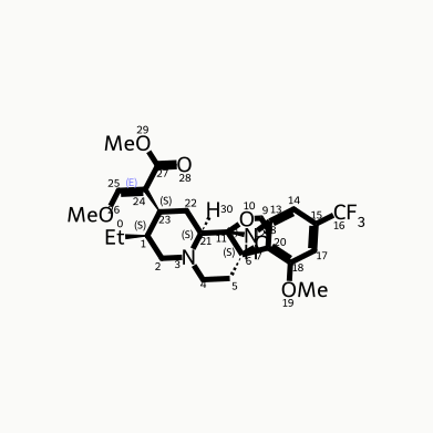 CC[C@@H]1CN2CC[C@@]34OCCO[C@@]3(Nc3cc(C(F)(F)F)cc(OC)c34)[C@@H]2C[C@@H]1/C(=C\OC)C(=O)OC